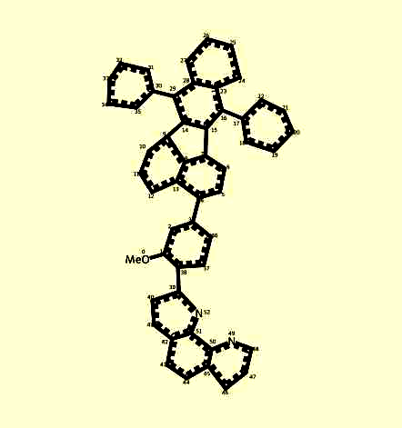 COc1cc(-c2ccc3c4c(cccc24)-c2c-3c(-c3ccccc3)c3ccccc3c2-c2ccccc2)ccc1-c1ccc2ccc3cccnc3c2n1